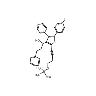 CC(C)(C)[Si](C)(C)OCCC#Cc1sc(-c2ccc(F)cc2)c(-c2ccncc2)c1C(O)CCc1ccccc1